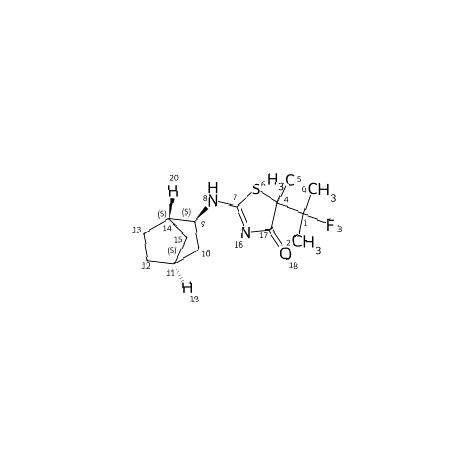 CC(C)(F)C1(C)SC(N[C@H]2C[C@H]3CC[C@H]2C3)=NC1=O